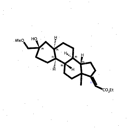 CCOC(=O)/C=C1\CC[C@H]2[C@@H]3CC[C@@H]4C[C@@](O)(COC)CC[C@@H]4[C@H]3CCC12C